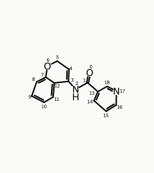 O=C(NC1=CCOc2ccccc21)c1cccnc1